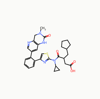 CN1Cc2ncc(-c3ccccc3-c3csc(N(C(=O)C(CC(=O)O)CC4CCCC4)C4CC4)n3)cc2NC1=O